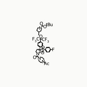 CC(=O)N1CCN(C(=O)N2CC[C@](c3ccc(C(OCC4CCN(C(=O)OC(C)(C)C)C4)(C(F)(F)F)C(F)(F)F)cc3)(S(=O)(=O)c3ccc(F)cc3)C2)CC1